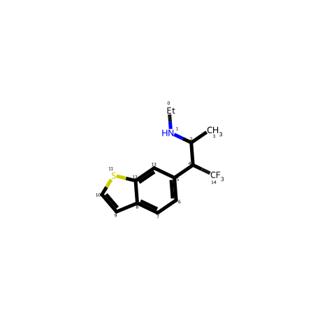 CCNC(C)C(c1ccc2ccsc2c1)C(F)(F)F